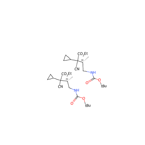 CCOC(=O)C(C#N)(C1CC1)[C@H](C)CNC(=O)OC(C)(C)C.CCOC(=O)C(C#N)(C1CC1)[C@H](C)CNC(=O)OC(C)(C)C